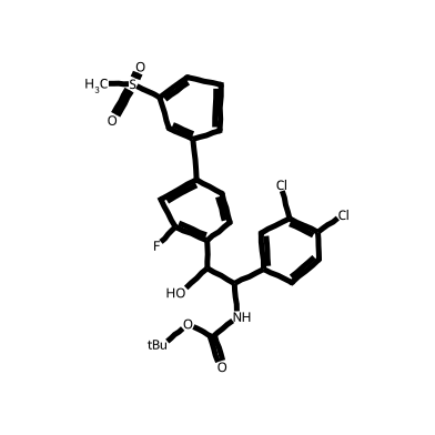 CC(C)(C)OC(=O)NC(c1ccc(Cl)c(Cl)c1)C(O)c1ccc(-c2cccc(S(C)(=O)=O)c2)cc1F